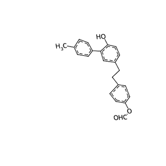 Cc1ccc(-c2cc(CCc3ccc(OC=O)cc3)ccc2O)cc1